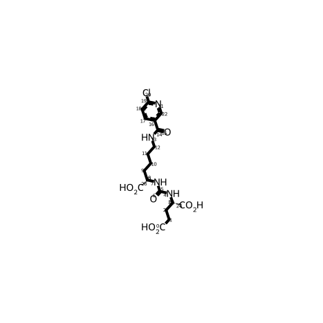 O=C(O)CC[C@H](NC(=O)N[C@@H](CCCCNC(=O)c1ccc(Cl)nc1)C(=O)O)C(=O)O